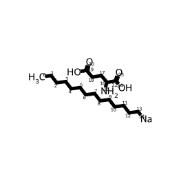 CCCCCCCCCCCCC[CH2][Na].NC(CCC(=O)O)C(=O)O